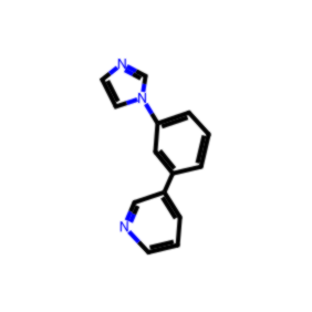 c1cncc(-c2cccc(-n3ccnc3)c2)c1